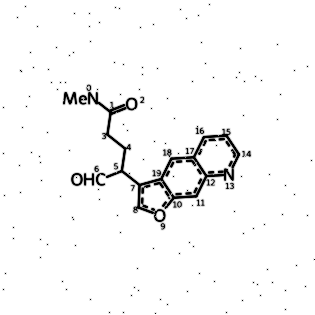 CNC(=O)CCC(C=O)c1coc2cc3ncccc3cc12